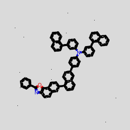 c1ccc(-c2nc3ccc4cc(-c5cccc6cc(-c7ccc(N(c8cccc(-c9cccc%10ccccc9%10)c8)c8cccc(-c9cccc%10ccccc9%10)c8)cc7)ccc56)ccc4c3o2)cc1